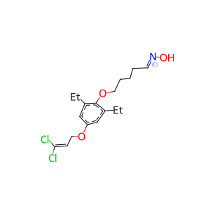 CCc1cc(OCC=C(Cl)Cl)cc(CC)c1OCCCC/C=N/O